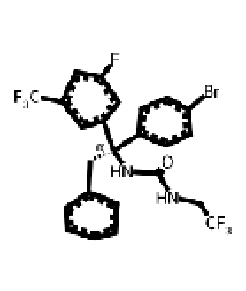 O=C(NCC(F)(F)F)N[C@](Cc1ccccc1)(c1ccc(Br)cc1)c1cc(F)cc(C(F)(F)F)c1